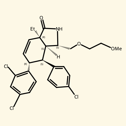 CC[C@@]12C=C[C@@H](c3ccc(Cl)cc3Cl)[C@H](c3ccc(Cl)cc3)[C@@H]1[C@@H](COCCOC)NC2=O